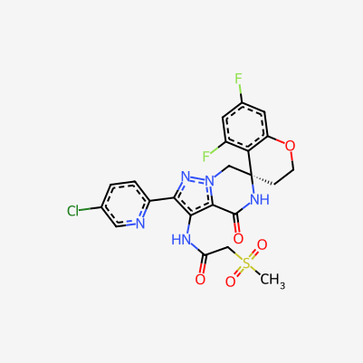 CS(=O)(=O)CC(=O)Nc1c(-c2ccc(Cl)cn2)nn2c1C(=O)N[C@@]1(CCOc3cc(F)cc(F)c31)C2